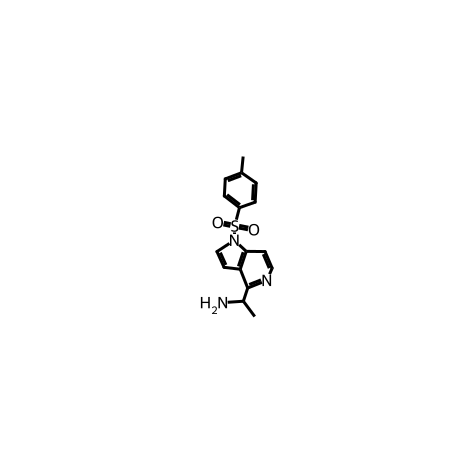 Cc1ccc(S(=O)(=O)n2ccc3c(C(C)N)nccc32)cc1